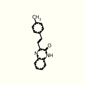 Cc1ccc(C=Cc2nc3ccccc3[nH]c2=O)cc1